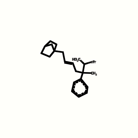 CCCC(C(=O)O)C(C)(CC=CCC12CCC(CC1)C2)c1ccccc1